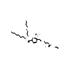 C=CCOC(=O)CC(N)C(=O)OCc1ccc(C(=O)N(CCCCCCCC)CCCCCCCC)cc1[N+](=O)[O-]